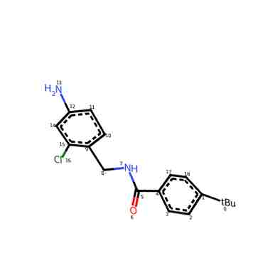 CC(C)(C)c1ccc(C(=O)NCc2ccc(N)cc2Cl)cc1